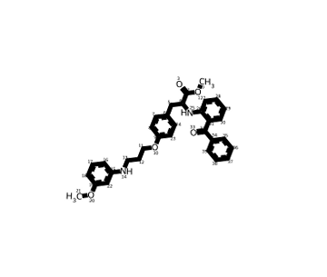 COC(=O)C(Cc1ccc(OCCCNc2cccc(OC)c2)cc1)Nc1ccccc1C(=O)c1ccccc1